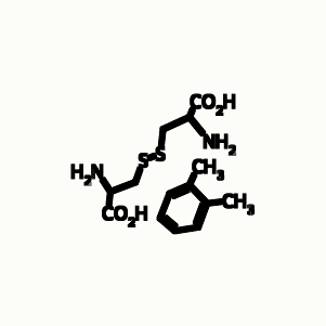 Cc1ccccc1C.NC(CSSCC(N)C(=O)O)C(=O)O